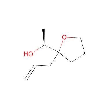 C=CCC1([C@H](C)O)CCCO1